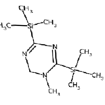 CN1CN=C([Si](C)(C)C)N=C1[Si](C)(C)C